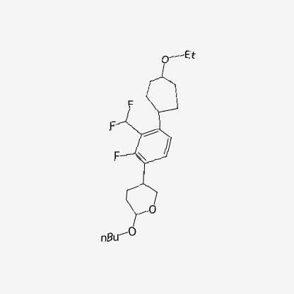 CCCCOC1CCC(c2ccc(C3CCC(OCC)CC3)c(C(F)F)c2F)CO1